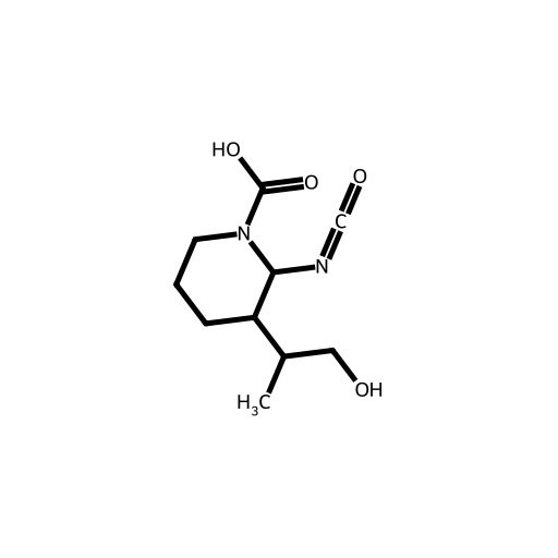 CC(CO)C1CCCN(C(=O)O)C1N=C=O